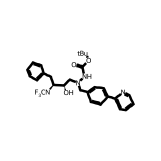 CC(C)(C)OC(=O)NN(Cc1ccc(-c2ccccn2)cc1)C[C@H](O)[C@H](Cc1ccccc1)NC(F)(F)F